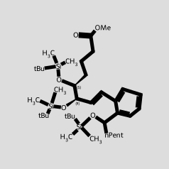 CCCCCC(O[Si](C)(C)C(C)(C)C)c1ccccc1C=C[C@@H](O[Si](C)(C)C(C)(C)C)[C@H](CCCC(=O)OC)O[Si](C)(C)C(C)(C)C